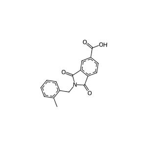 Cc1ccccc1CN1C(=O)c2ccc(C(=O)O)cc2C1=O